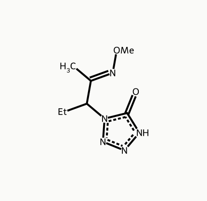 CCC(C(C)=NOC)n1nn[nH]c1=O